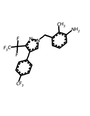 Cc1c(N)cccc1Cn1cc(-c2ccc(C(F)(F)F)cc2)c(C(F)(F)C(F)(F)F)n1